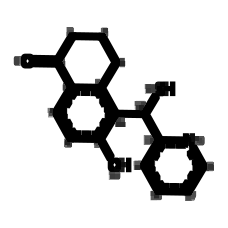 O=C1CCCc2c1ccc(O)c2C(S)c1ccccn1